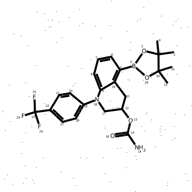 CC1(C)OB(c2cccc3c2CC(OC(N)=O)CN3c2ccc(C(F)(F)F)cc2)OC1(C)C